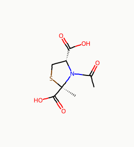 CC(=O)N1[C@@H](C(=O)O)CS[C@]1(C)C(=O)O